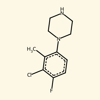 Cc1c(N2CCNCC2)ccc(F)c1Cl